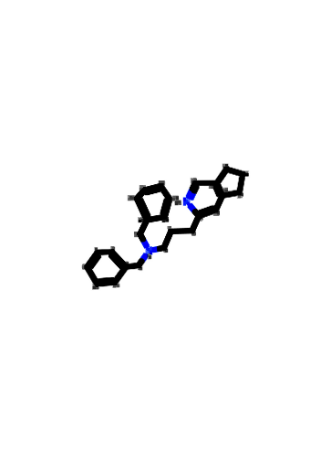 c1ccc(CN(CCCc2cc3c(cn2)CCC3)Cc2ccccc2)cc1